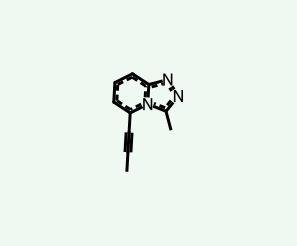 CC#Cc1cccc2nnc(C)n12